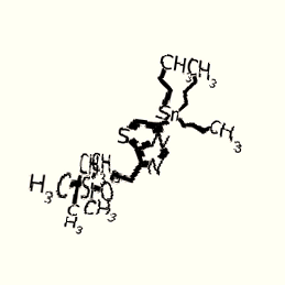 CCC[CH2][Sn]([CH2]CCC)([CH2]CCC)[c]1csc2c(CCO[Si](C)(C)C(C)(C)C)ncn12